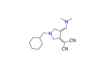 CN(C)C=C1CN(CC2CCCCC2)CC1=C(C#N)C#N